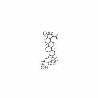 C=C(C)[C@@H]1CC[C@]2(COC(C)=O)CC[C@]3(C)C(CCC4[C@@]5(C)CC[C@H](O[Si](C)(C)C(C)(C)C)[C@@](C)(CCC(C)(C)[Si](C)(C)O)C5CC[C@]43C)C12